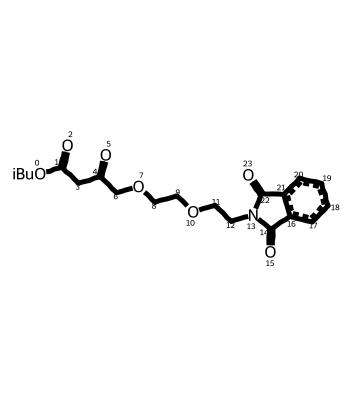 CC(C)COC(=O)CC(=O)COCCOCCN1C(=O)c2ccccc2C1=O